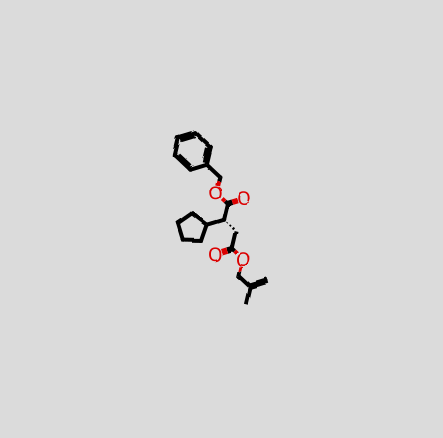 C=C(C)COC(=O)C[C@@H](C(=O)OCc1ccccc1)C1CCCC1